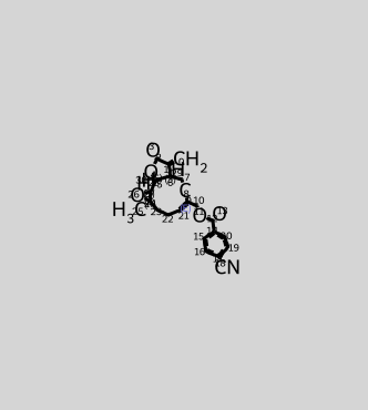 C=C1C(=O)O[C@H]2[C@H]1CC/C(COC(=O)c1ccc(C#N)cc1)=C\CC[C@@]1(C)O[C@@H]21